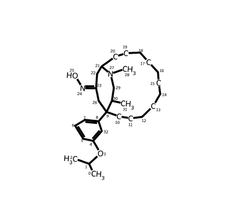 CC(C)Oc1cccc(C23CCCCCCCCCCCC(CC(=NO)C2)N(C)CC3C)c1